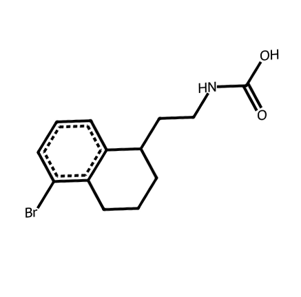 O=C(O)NCCC1CCCc2c(Br)cccc21